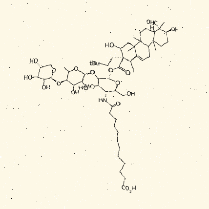 CC1O[C@@H](OC2C(O)[C@@H](NC(=O)CCCCCCCCCCC(=O)O)C(CO)O[C@H]2OC(=O)[C@@]2(CCC(C)(C)C)C(O)CC3(C)C(=CCC4C5(C)CC[C@H](O)C(C)(C=O)[C@H]5CCC43C)C2I)C(O)C(O)[C@H]1O[C@@H]1OC[C@@H](O)C(O)C1O